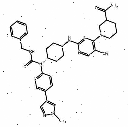 Cn1cc(-c2ccc(N(C(=O)NCc3ccccc3)[C@H]3CC[C@H](Nc4ncc(C#N)c(N5CCCC(C(N)=O)C5)n4)CC3)nc2)cn1